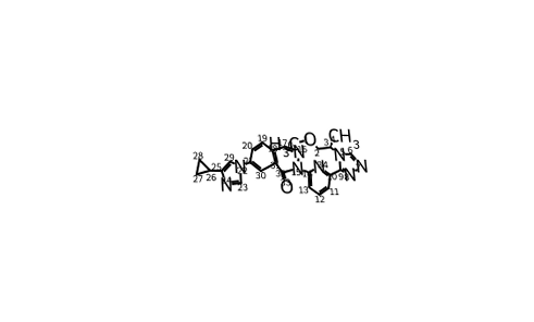 COC[C@@H](C)n1cnnc1-c1cccc(-n2ncc3ccc(-n4cnc(C5CC5)c4)cc3c2=O)n1